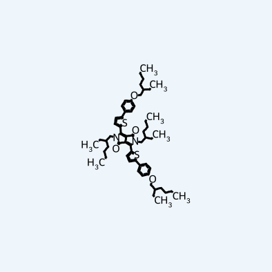 CCCCC(CC)COc1ccc(-c2ccc(C3=C4C(=O)N(CC(CC)CCCC)C(c5ccc(-c6ccc(OCC(CC)CCCC)cc6)s5)=C4C(=O)N3CC(CC)CCCC)s2)cc1